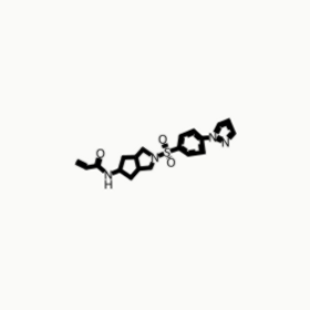 C=CC(=O)NC1CC2CN(S(=O)(=O)c3ccc(-n4cccn4)cc3)CC2C1